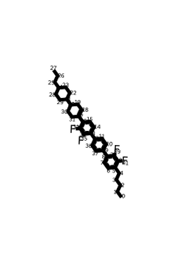 CCCCCc1ccc(-c2ccc(-c3ccc(C4=CCC(C5CCC(CCC)CC5)CC4)c(F)c3F)cc2)c(F)c1F